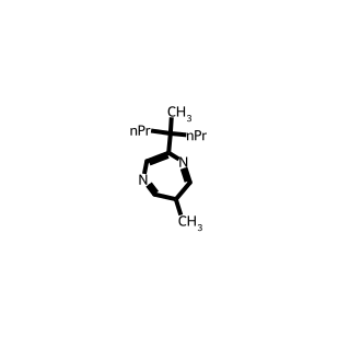 CCCC(C)(CCC)C1=CN=CC(C)C=N1